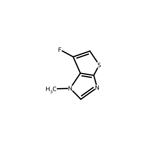 Cn1cnc2scc(F)c21